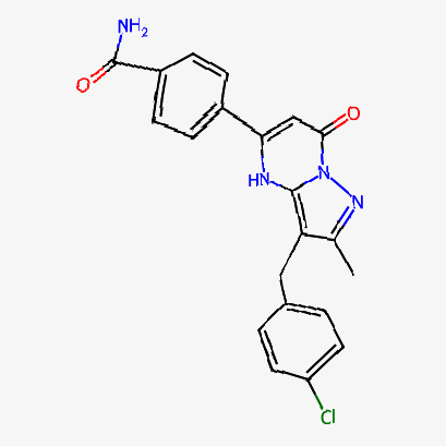 Cc1nn2c(=O)cc(-c3ccc(C(N)=O)cc3)[nH]c2c1Cc1ccc(Cl)cc1